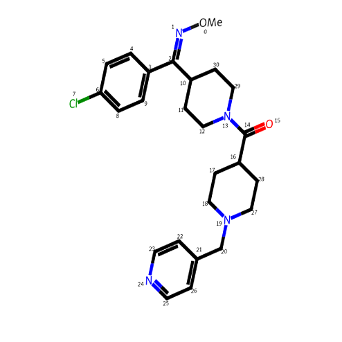 CON=C(c1ccc(Cl)cc1)C1CCN(C(=O)C2CCN(Cc3ccncc3)CC2)CC1